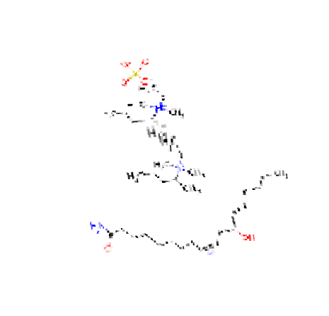 CCCC(C)[N+](C)(C)CC.CCCC(C)[N+](C)(C)CC.CCCCCCC(O)C/C=C\CCCCCCCC(N)=O.O=S(=O)([O-])[O-]